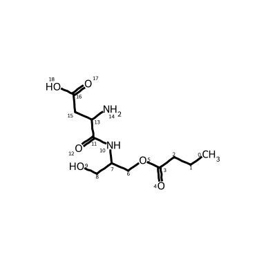 CCCC(=O)OCC(CO)NC(=O)C(N)CC(=O)O